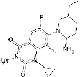 CCC1CCC(N)N(c2c(F)cc3c(=O)n(N)c(=O)n(C4CC4)c3c2C)C1